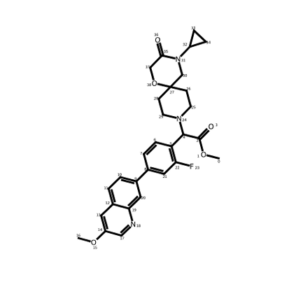 COC(=O)C(c1ccc(-c2ccc3cc(OC)cnc3c2)cc1F)N1CCC2(CC1)CN(C1CC1)C(=O)CO2